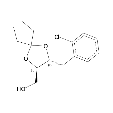 CCC1(CC)O[C@H](CO)[C@@H](Cc2ccccc2Cl)O1